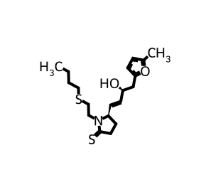 CCCCSCCN1C(=S)CC[C@@H]1/C=C/[C@@H](O)Cc1ccc(C)o1